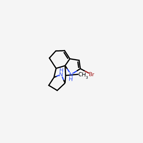 CC1C2CCC(N2)C2CCC=C3C=C(Br)NC312